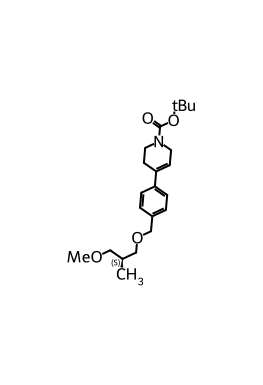 COC[C@H](C)COCc1ccc(C2=CCN(C(=O)OC(C)(C)C)CC2)cc1